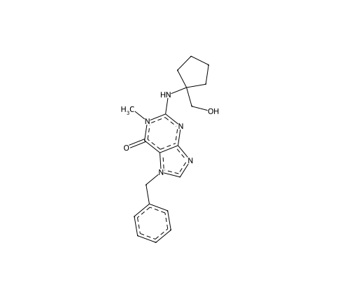 Cn1c(NC2(CO)CCCC2)nc2ncn(Cc3ccccc3)c2c1=O